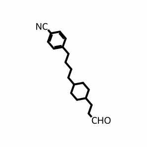 N#Cc1ccc(CCCCC2CCC(CCC=O)CC2)cc1